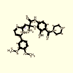 COc1ccc(C2=CC=N/C(=C/C(C)(N)C(=O)Nc3ccc(C(=O)N4CCOCC4)c(O)c3)N2)cc1OC